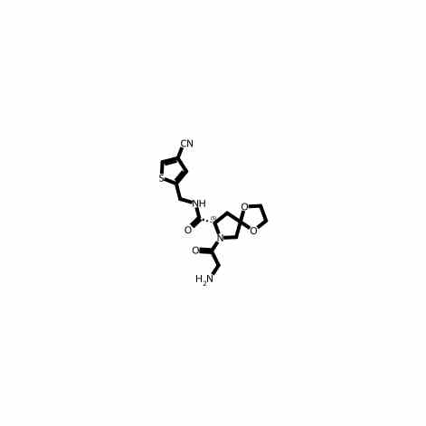 N#Cc1csc(CNC(=O)[C@@H]2CC3(CN2C(=O)CN)OCCO3)c1